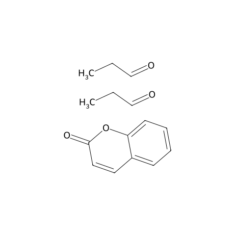 CCC=O.CCC=O.O=c1ccc2ccccc2o1